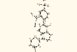 Cc1c(-c2ccc(C(F)(F)F)cc2C(F)F)nnc2c([C@@H]3CCCN(C)C3)cccc12